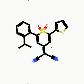 CC(C)c1ccccc1C1=CC(=C(C#N)C#N)C=C(c2cccs2)S1(=O)=O